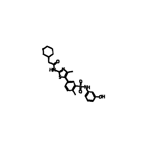 Cc1ccc(-c2sc(NC(=O)CC3CCCCC3)nc2C)cc1S(=O)(=O)Nc1cccc(O)c1